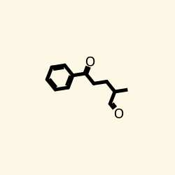 CC(C=O)CCC(=O)c1ccccc1